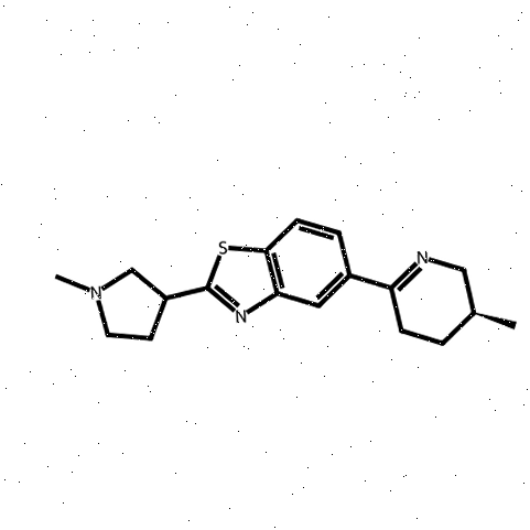 C[C@H]1CCC(c2ccc3sc(C4CCN(C)C4)nc3c2)=NC1